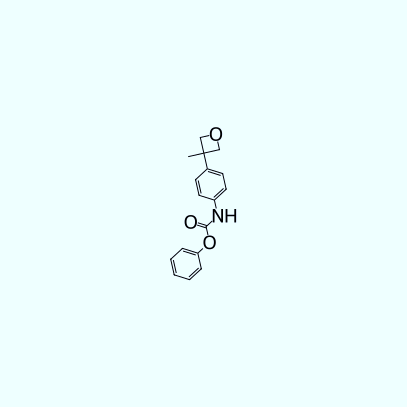 CC1(c2ccc(NC(=O)Oc3ccccc3)cc2)COC1